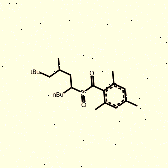 CCCCC(CC(C)CC(C)(C)C)[P](=O)C(=O)c1c(C)cc(C)cc1C